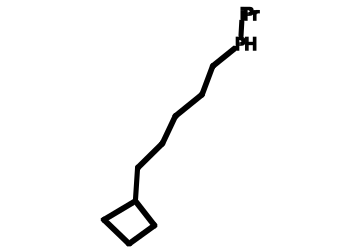 CC(C)PCCCCCC1CCC1